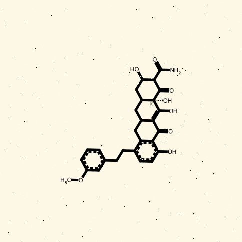 COc1cccc(CCc2ccc(O)c3c2CC2CC4CC(O)C(C(N)=O)C(=O)[C@@]4(O)C(O)=C2C3=O)c1